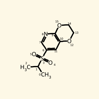 CC(C)S(=O)(=O)c1cnc2c(c1)OCCO2